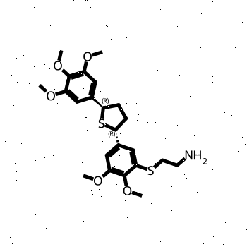 COc1cc([C@H]2CC[C@H](c3cc(OC)c(OC)c(SCCN)c3)S2)cc(OC)c1OC